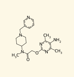 Cc1nc(OCC(=O)N(C)C2CCN(Cc3cccnc3)CC2)nc(C)c1N